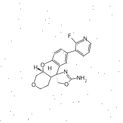 NC1=N[C@]2(CO1)c1cc(-c3cccnc3F)ccc1O[C@H]1COCC[C@@H]12